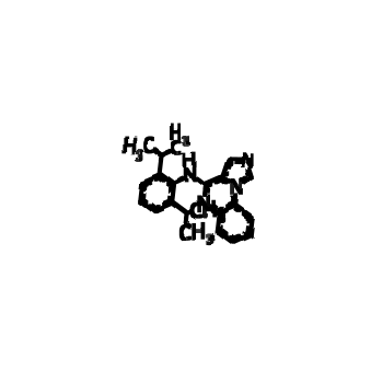 CC(C)c1cccc(C(C)C)c1Nc1nc2ccccc2n2cncc12